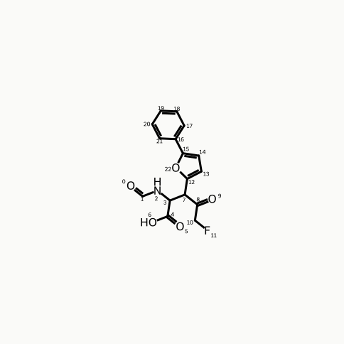 O=CNC(C(=O)O)C(C(=O)CF)c1ccc(-c2ccccc2)o1